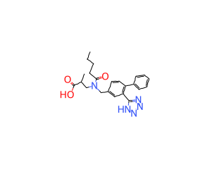 CCCCC(=O)N(Cc1ccc(-c2ccccc2)c(-c2nnn[nH]2)c1)CC(C)C(=O)O